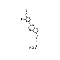 C=CCc1ccc(-c2cnc3cc(C=CCCCC(C)O)ccc3n2)cc1F